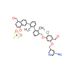 Cc1c(COc2cc(OCc3cncc(C#N)c3)c(C=O)cc2Cl)cccc1-c1cccc(-c2ccc3c(C=O)ccc(OS(=O)(=O)C(F)(F)F)c3c2)c1C